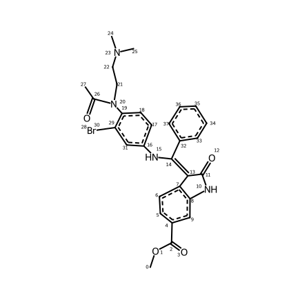 COC(=O)c1ccc2c(c1)NC(=O)C2=C(Nc1ccc(N(CCN(C)C)C(C)=O)c(Br)c1)c1ccccc1